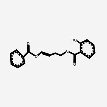 O=C(OC=CCCOC(=O)c1ccccc1O)c1ccccc1